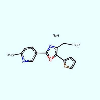 CSc1ccc(-c2nc(CC(=O)O)c(-c3cccs3)o2)cn1.[NaH]